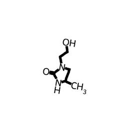 CC1CN(CCO)C(=O)N1